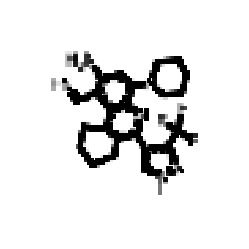 N=Cc1c(N)cc(N2CCCCC2)c2nc(-c3c[nH]nc3C(F)(F)F)c3c(c12)CCCC3